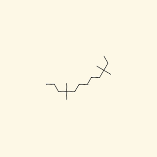 CCCC(C)(C)CC[CH]CCC(C)(C)CC